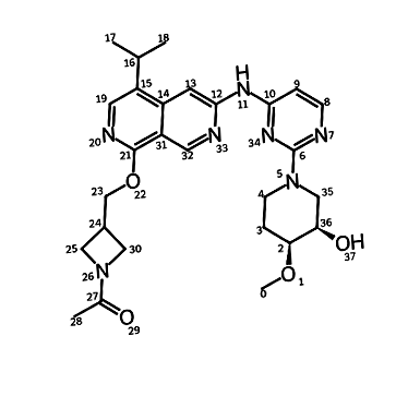 CO[C@H]1CCN(c2nccc(Nc3cc4c(C(C)C)cnc(OCC5CN(C(C)=O)C5)c4cn3)n2)C[C@H]1O